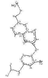 CC(C)Sc1ccc(Oc2ccc3cc(CCN)ccc3n2)c(Br)c1